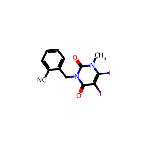 Cn1c(I)c(I)c(=O)n(Cc2ccccc2C#N)c1=O